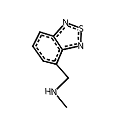 CNCc1cccc2nsnc12